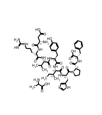 CC(N)C(=O)O.CC[C@H](C)[C@H](NC(=O)[C@H](Cc1ccc(O)cc1)NC(=O)[C@@H](NC(=O)[C@H](CCCNC(=N)N)NC(=O)[C@@H](N)CC(=O)O)C(C)C)C(=O)N[C@@H](Cc1cnc[nH]1)C(=O)N1CCC[C@H]1C(=O)N[C@@H](Cc1ccccc1)C(=O)O